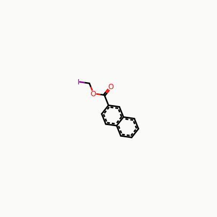 O=C(OCI)c1ccc2ccccc2c1